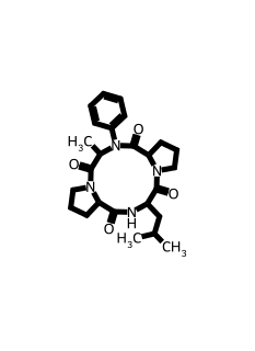 CC(C)CC1NC(=O)C2CCCN2C(=O)C(C)N(c2ccccc2)C(=O)C2CCCN2C1=O